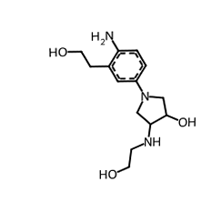 Nc1ccc(N2CC(O)C(NCCO)C2)cc1CCO